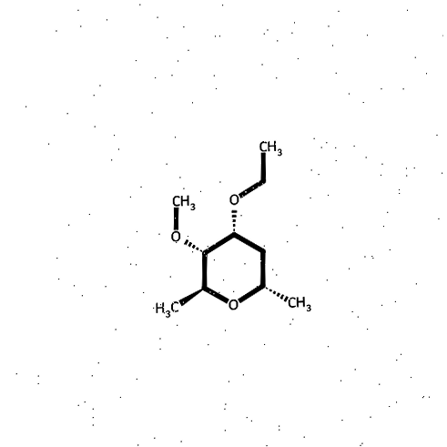 CCO[C@@H]1C[C@H](C)O[C@@H](C)[C@@H]1OC